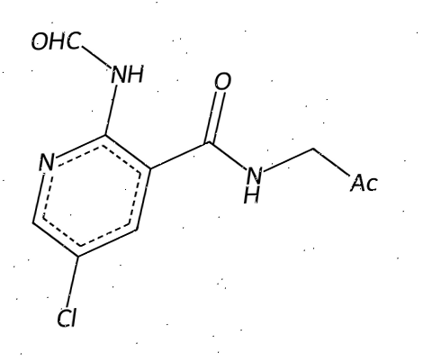 CC(=O)CNC(=O)c1cc(Cl)cnc1NC=O